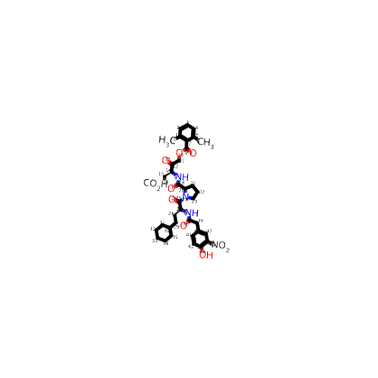 Cc1cccc(C)c1C(=O)OCC(=O)[C@H](CC(=O)O)NC(=O)C1CCCN1C(=O)[C@H](CCC1CCCCC1)NC(=O)Cc1ccc(O)c([N+](=O)[O-])c1